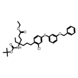 CCOC(=O)CCC(CC)(CCCc1ccc(Sc2cccc(OCc3ccccc3)c2)cc1Cl)NC(=O)OC(C)(C)C